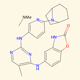 CNC.Cc1cnc(Nc2ccc(N3C4CCCC3CC4)nc2)nc1Nc1ccc2oc(=O)[nH]c2c1